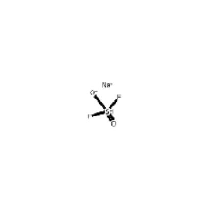 O=[SH]([O-])(F)F.[Na+]